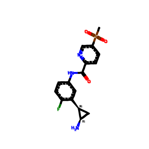 CS(=O)(=O)c1ccc(C(=O)Nc2ccc(F)c([C@H]3C[C@H]3N)c2)nc1